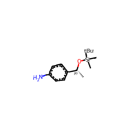 C[C@@H](O[Si](C)(C)C(C)(C)C)c1ccc(N)cc1